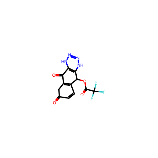 O=C1C=CC2=C(C1)C(=O)C1=C(NN=NN1)C2OC(=O)C(F)(F)F